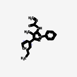 C=NC(=O)Nc1c(C)c(C(/C=C\C)=C/CCC)nn1-c1ccccc1